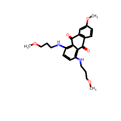 COCCCNc1ccc(NCCCOC)c2c1C(=O)c1ccc(OC)cc1C2=O